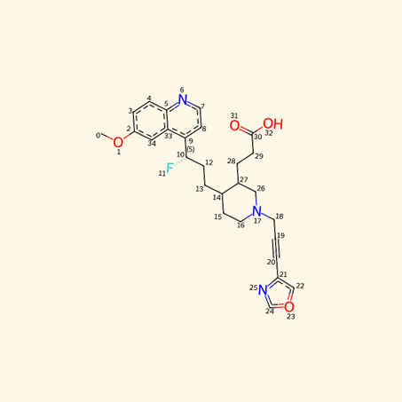 COc1ccc2nccc([C@@H](F)CCC3CCN(CC#Cc4cocn4)CC3CCC(=O)O)c2c1